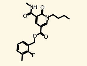 CCCCn1cc(C(=O)OCc2cccc(C)c2F)cc(C(=O)NC)c1=O